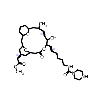 COC(=O)/C=C1\CC2CC(=O)OC(/C=C/CCCCNC(=O)N3CCNCC3)C(C)/C=C/C(C)CC3CCCC(CC(C1)O2)O3